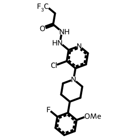 COc1cccc(F)c1C1CCN(c2ccnc(NNC(=O)CC(F)(F)F)c2Cl)CC1